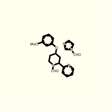 COc1cccc(OC2CCN(C=O)C(c3ccccn3)C2)c1.O=Cn1ccnc1